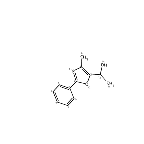 Cc1nc(-c2ccccc2)oc1C(C)O